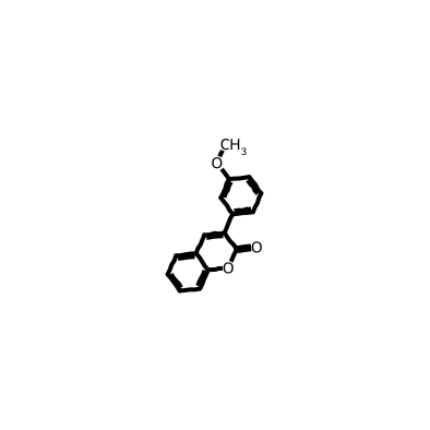 COc1cccc(-c2cc3ccccc3oc2=O)c1